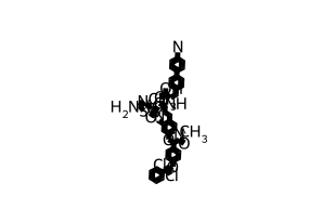 Cc1nc(N)sc1S(=O)(=O)N1Cc2cc3c(cc2CC1C(=O)NC(Cc1ccc(-c2ccc(C#N)cc2)cc1)C(=O)O)N(C)C(=O)C(c1ccc(OC(Cl)(Cl)c2ccccc2)cc1)O3